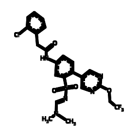 CN(C)/C=N/S(=O)(=O)c1cc(NC(=O)Cc2ccccc2Cl)ccc1-c1cnc(OCC(F)(F)F)nc1